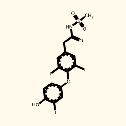 CS(=O)(=O)NC(=O)Cc1cc(I)c(Oc2ccc(O)c(I)c2)c(I)c1